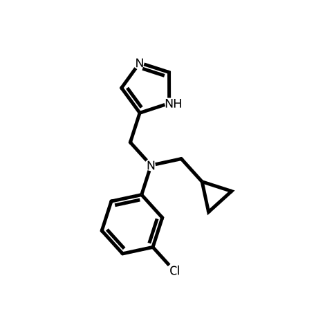 Clc1cccc(N(Cc2cnc[nH]2)CC2CC2)c1